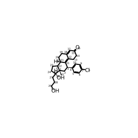 C[C@]12C[C@H](c3ccc(Cl)cc3)C3=C4CCC(=O)C=C4CC[C@H]3[C@@H]1CC[C@]2(O)CCCO